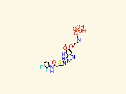 COc1cc2c(Nc3ncc(CC(=O)Nc4cccc(F)c4F)s3)ncnc2cc1OCCCN(C)CCOP(=O)(O)O